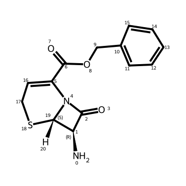 N[C@@H]1C(=O)N2C(C(=O)OCc3ccccc3)=CCS[C@@H]12